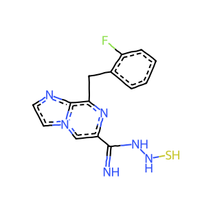 N=C(NNS)c1cn2ccnc2c(Cc2ccccc2F)n1